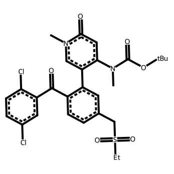 CCS(=O)(=O)Cc1ccc(C(=O)c2cc(Cl)ccc2Cl)c(-c2cn(C)c(=O)cc2N(C)C(=O)OC(C)(C)C)c1